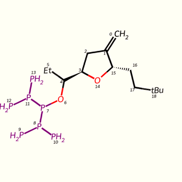 C=C1C[C@H](C(CC)OP(P(P)P)P(P)P)O[C@H]1CCC(C)(C)C